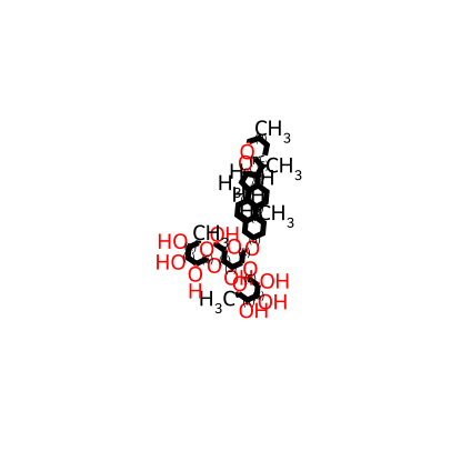 CC1O[C@@H](OC2[C@H](O[C@H]3CC[C@@]4(C)C(=CC[C@H]5[C@@H]6C[C@@H]7O[C@]8(CC[C@@H](C)CO8)[C@@H](C)[C@@H]7[C@@]6(C)CC[C@@H]54)C3)OC(CO)[C@@H](O[C@@H]3OC(C)[C@H](O)[C@H](O)C3O)[C@@H]2O)C(O)[C@@H](O)[C@H]1O